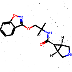 CC(C)(COc1noc2ccccc12)NC(=O)[C@H]1[C@@H]2CNC[C@@H]21